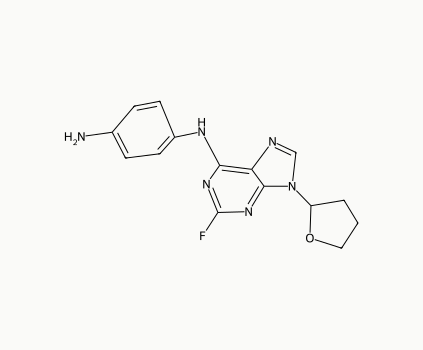 Nc1ccc(Nc2nc(F)nc3c2ncn3C2CCCO2)cc1